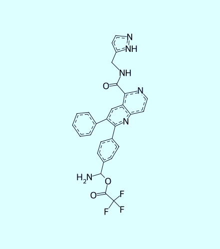 NC(OC(=O)C(F)(F)F)c1ccc(-c2nc3ccnc(C(=O)NCc4ccn[nH]4)c3cc2-c2ccccc2)cc1